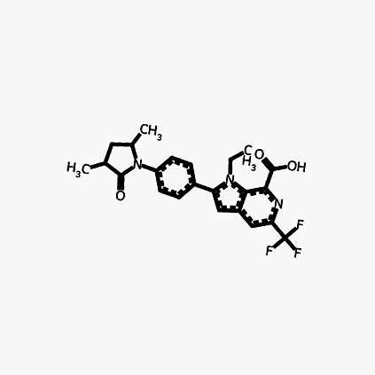 CCn1c(-c2ccc(N3C(=O)C(C)CC3C)cc2)cc2cc(C(F)(F)F)nc(C(=O)O)c21